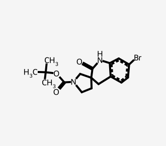 CC(C)(C)OC(=O)N1CCC2(Cc3ccc(Br)cc3NC2=O)C1